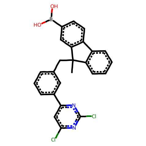 CC1(Cc2cccc(-c3cc(Cl)nc(Cl)n3)c2)c2ccccc2-c2ccc(B(O)O)cc21